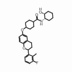 Cc1c(F)cccc1C1CCc2cc(OC3CCC(C(=O)N[C@H]4CCCC[C@@H]4O)CC3)ccc2O1